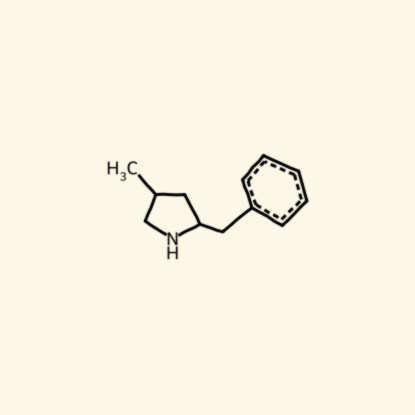 CC1CNC(Cc2ccccc2)C1